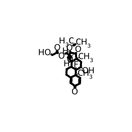 CC1(C)O[C@@H]2C[C@H]3C4CCC5=CC(=O)C=C[C@]5(C)[C@@]4(F)[C@@H](O)C[C@]3(C)[C@]2(C(=O)COC(=O)CO)O1